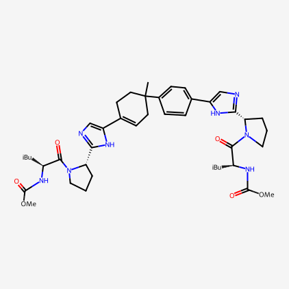 CCC(C)[C@H](NC(=O)OC)C(=O)N1CCC[C@H]1c1ncc(C2=CCC(C)(c3ccc(-c4cnc([C@@H]5CCCN5C(=O)[C@@H](NC(=O)OC)C(C)CC)[nH]4)cc3)CC2)[nH]1